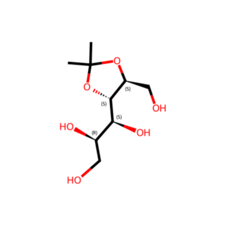 CC1(C)O[C@@H]([C@@H](O)[C@H](O)CO)[C@H](CO)O1